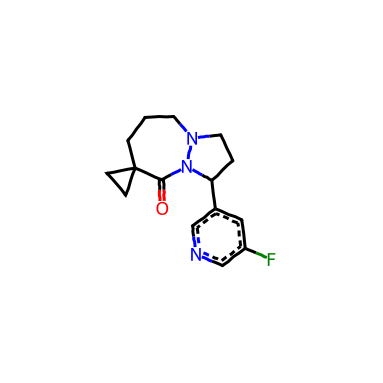 O=C1N2C(c3cncc(F)c3)CCN2CCCC12CC2